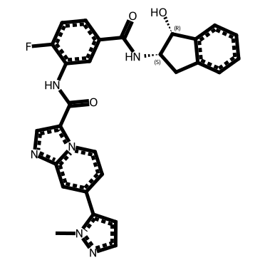 Cn1nccc1-c1ccn2c(C(=O)Nc3cc(C(=O)N[C@H]4Cc5ccccc5[C@H]4O)ccc3F)cnc2c1